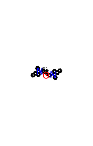 C[Si]1(C)c2ccc(N(c3ccccc3)c3cccc4c3ccc3ccccc34)cc2-c2oc3ccc(N(c4ccccc4)c4cccc5c4ccc4ccccc45)cc3c21